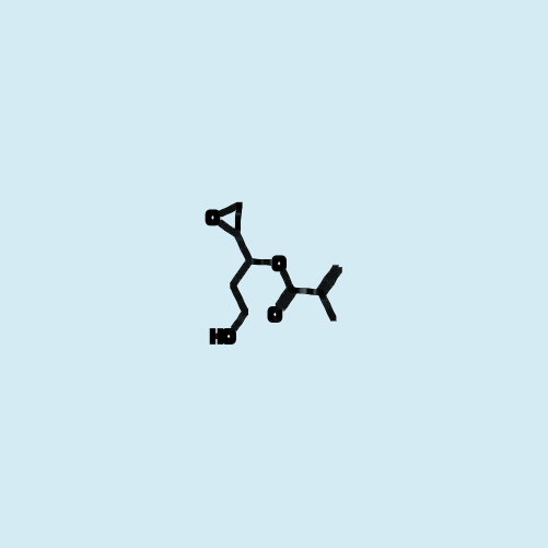 C=C(C)C(=O)OC(CCO)C1CO1